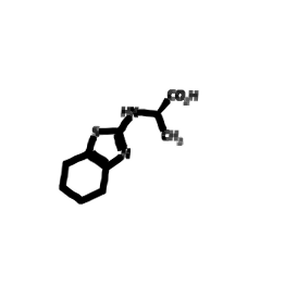 C[C@@H](Nc1nc2c(s1)CCCC2)C(=O)O